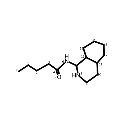 CCCCC(=O)NC1NCCC2CCCCC21